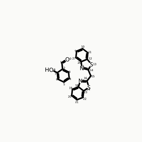 O=Cc1ccccc1O.c1ccc2sc(Cc3nc4ccccc4s3)nc2c1